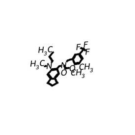 CCCCN(CC)c1cc2c(cc1CN(Cc1cc(C)cc(C(F)(F)F)c1)C(=O)OC)CCC2